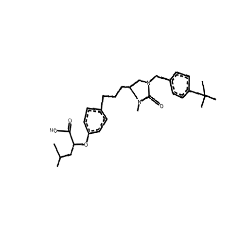 CC(C)CC(Oc1ccc(CCCC2CN(Cc3ccc(C(C)(C)C)cc3)C(=O)N2C)cc1)C(=O)O